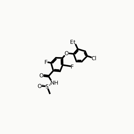 CCc1cc(Cl)ccc1Oc1cc(F)c(C(=O)N[S+](C)[O-])cc1F